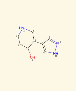 OC1CCNCC1c1cn[nH]c1